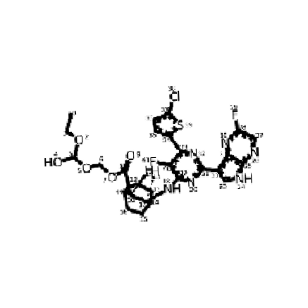 CCOC(O)OCOC(=O)[C@H]1C2CCC(CC2)[C@@H]1Nc1nc(-c2c[nH]c3ncc(F)nc23)nc(-c2ccc(Cl)s2)c1F